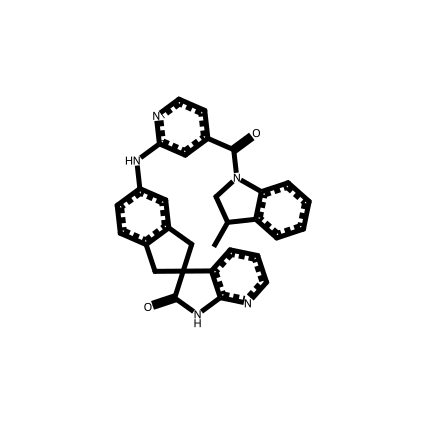 CC1CN(C(=O)c2ccnc(Nc3ccc4c(c3)CC3(C4)C(=O)Nc4ncccc43)c2)c2ccccc21